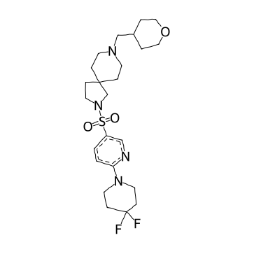 O=S(=O)(c1ccc(N2CCC(F)(F)CC2)nc1)N1CCC2(CCN(CC3CCOCC3)CC2)C1